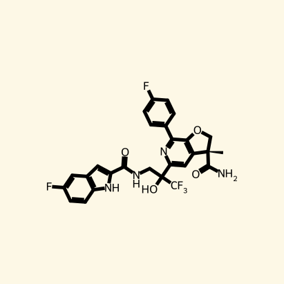 C[C@]1(C(N)=O)COc2c1cc(C(O)(CNC(=O)c1cc3cc(F)ccc3[nH]1)C(F)(F)F)nc2-c1ccc(F)cc1